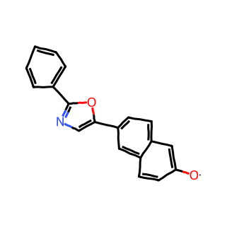 [O]c1ccc2cc(-c3cnc(-c4ccccc4)o3)ccc2c1